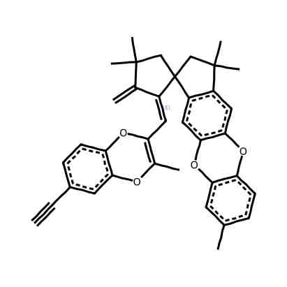 C#Cc1ccc2c(c1)OC(C)=C(/C=C1\C(=C)C(C)(C)CC13CC(C)(C)c1cc4c(cc13)Oc1cc(C)ccc1O4)O2